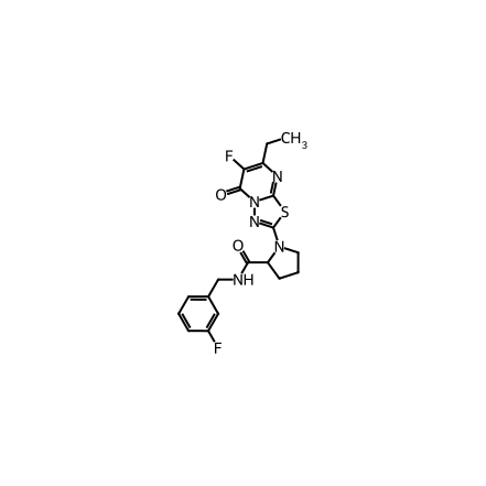 CCc1nc2sc(N3CCCC3C(=O)NCc3cccc(F)c3)nn2c(=O)c1F